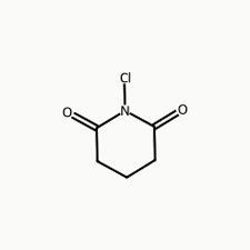 O=C1CCCC(=O)N1Cl